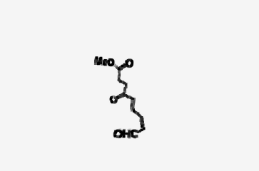 COC(=O)CCC(=O)/C=C/C=C\C=O